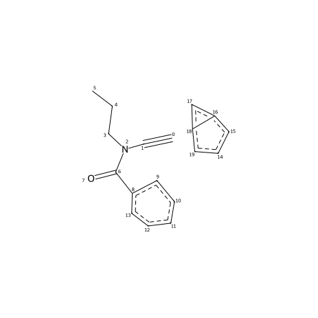 C#CN(CCC)C(=O)c1ccccc1.c1cc2cc-2c1